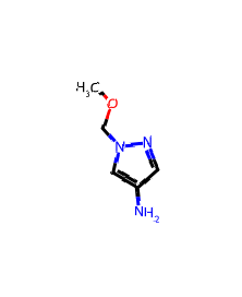 COCn1cc(N)cn1